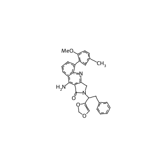 COc1ccc(C)cc1-c1cccc2c(N)c3c(nc12)CN(C(Cc1ccccc1)C1=COCO1)C3=O